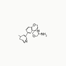 CC1\C=C(c2ccc3c(c2)C2(COCC(N)=N2)C2(CC2)CO3)/C=N\C=C\C1